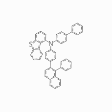 c1ccc(-c2ccc(N(c3ccc(-c4ccc5ccccc5c4-c4ccccc4)cc3)c3cccc4sc5ccccc5c34)cc2)cc1